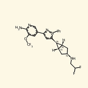 CC(C)n1nc(-c2cnc(N)c(OC(F)(F)F)c2)cc1[C@H]1[C@@H]2C[C@@H](NCC(F)F)C[C@@H]21